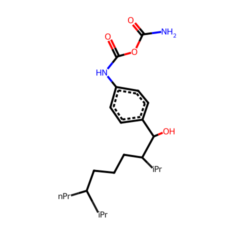 CCCC(CCCC(C(C)C)C(O)c1ccc(NC(=O)OC(N)=O)cc1)C(C)C